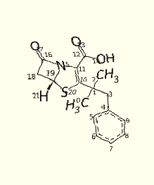 CC(C)(Cc1ccccc1)C1=C(C(=O)O)N2C(=O)C[C@H]2S1